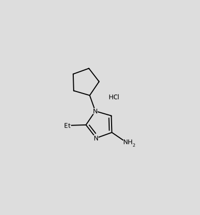 CCc1nc(N)cn1C1CCCC1.Cl